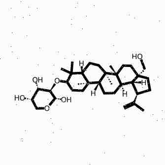 C=C(C)[C@@H]1CC[C@]2(CO)CC[C@]3(C)[C@H](CC[C@@H]4[C@@]5(C)CCC(O[C@@H]6[C@@H](O)[C@@H](O)CO[C@H]6O)C(C)(C)[C@@H]5CC[C@]43C)[C@@H]12